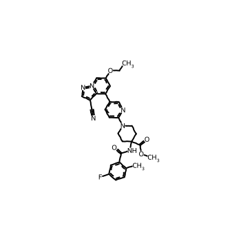 CCOc1cc(-c2ccc(N3CCC(NC(=O)c4cc(F)ccc4C)(C(=O)OC)CC3)nc2)c2c(C#N)cnn2c1